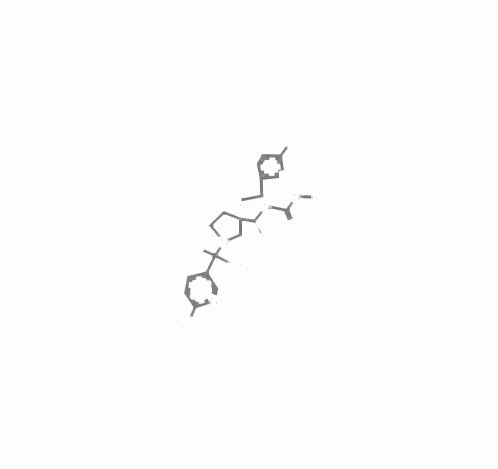 Cc1ccc(C(C)(C)N2CC[C@@](CCc3ccc(F)s3)([C@H](C)NC(=O)NC(C)C)C2)cn1